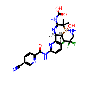 CC1(C)C(NC(=O)O)=N[C@](C)(c2nc(NC(=O)c3ccc(C#N)cn3)ccc2F)[C@H]2CC(F)(F)CN[S@@]21O